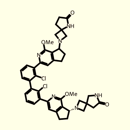 COc1nc(-c2cccc(-c3cccc(-c4cc5c(c(OC)n4)[C@H](N4CC6(CNC(=O)C6)C4)CC5)c3Cl)c2Cl)cc2c1C(N1CC3(CCC(=O)N3)C1)CC2